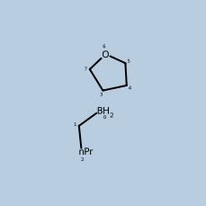 BCCCC.C1CCOC1